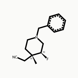 C[C@@]1(CC#N)CCN(Cc2ccccc2)C[C@H]1F